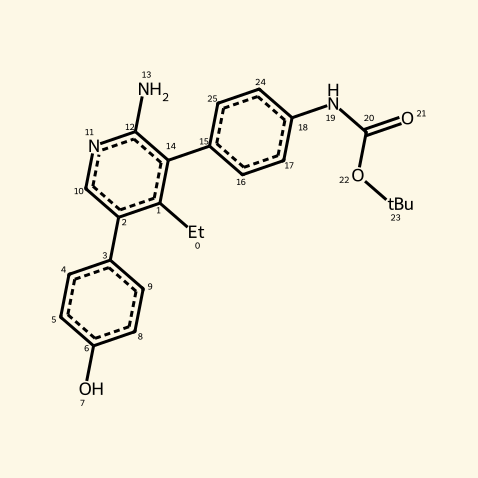 CCc1c(-c2ccc(O)cc2)cnc(N)c1-c1ccc(NC(=O)OC(C)(C)C)cc1